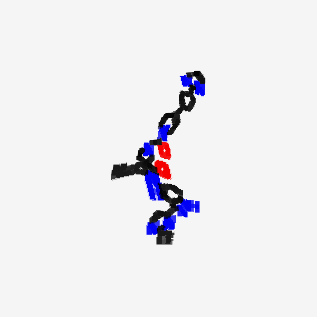 CCc1nccc(-c2n[nH]c3ccc(NC(=O)[C@]4(OC)CCN(CC(=O)N5CC=C(c6ccc(-c7ncccn7)cc6)CC5)C4)cc23)n1